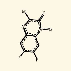 CCc1nc2cc(F)c(F)cc2n(CC)c1=O